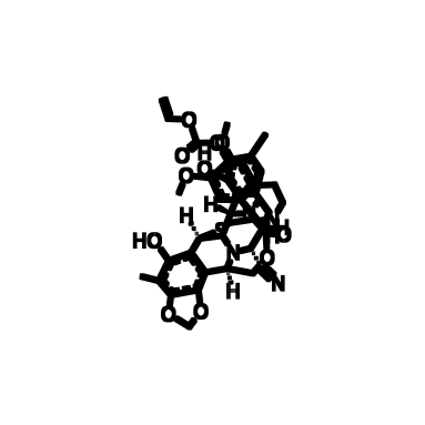 C=COC(=O)Oc1cc2c(cc1OC)[C@@]1(CS[C@@H]3c4c(O)c(C)c5c(c4[C@H](COC1=O)N1C3[C@@H]3c4c(cc(C)c(OC)c4O)C[C@H]([C@@H]1C#N)N3C)OCO5)NCC2